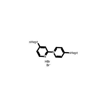 Br.CCCCCCCc1cc[n+](-c2cc(CCCCCCC)ccn2)cc1.[Br-]